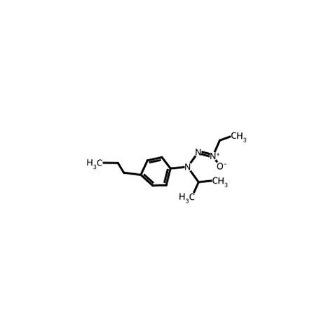 CCCc1ccc(N(/N=[N+](\[O-])CC)C(C)C)cc1